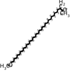 C=C(CCCCCCCCCCCCCCCCCCCCCCCCCCCCCCCOC)C(C)=O